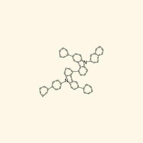 c1ccc(-c2ccc(-n3c4ccc(-c5ccccc5)cc4c4c(-c5cccc6c5c5cc(-c7ccccc7)ccc5n6-c5ccc6ccccc6c5)cccc43)cc2)cc1